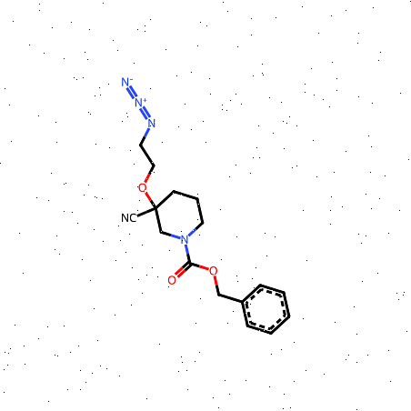 N#CC1(OCCN=[N+]=[N-])CCCN(C(=O)OCc2ccccc2)C1